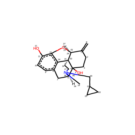 C=C1CCC2(O)[C@H]3Cc4ccc(O)c5c4[C@@]2(CC[N+]3(C)CC2CC2)[C@H]1O5